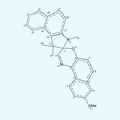 CSc1ccc2c3c(ccc2c1)OC1(C=N3)N(C)c2ccc3ccccc3c2C1(C)C